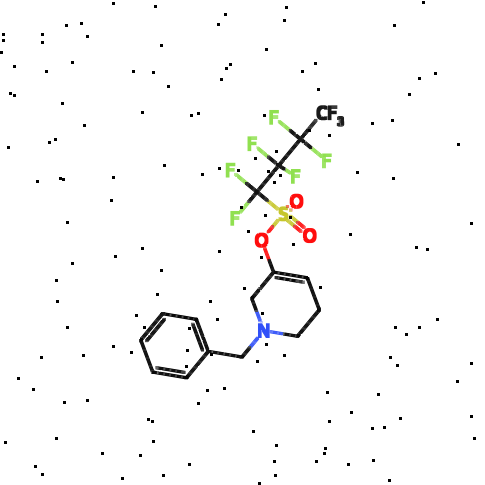 O=S(=O)(OC1=CCCN(Cc2ccccc2)C1)C(F)(F)C(F)(F)C(F)(F)C(F)(F)F